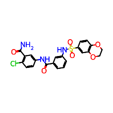 NC(=O)c1cc(NC(=O)c2cccc(NS(=O)(=O)c3ccc4c(c3)OCCO4)c2)ccc1Cl